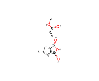 C=C(C)C.C=CC(=O)OC.O=C1C=CC(=O)O1